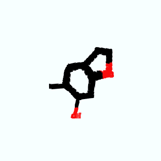 Cc1cc2ccoc2cc1O